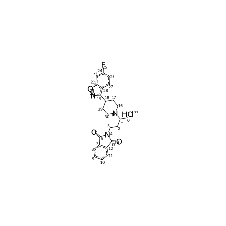 CC(CCN1C(=O)c2ccccc2C1=O)N1CCC(c2noc3cc(F)ccc23)CC1.Cl